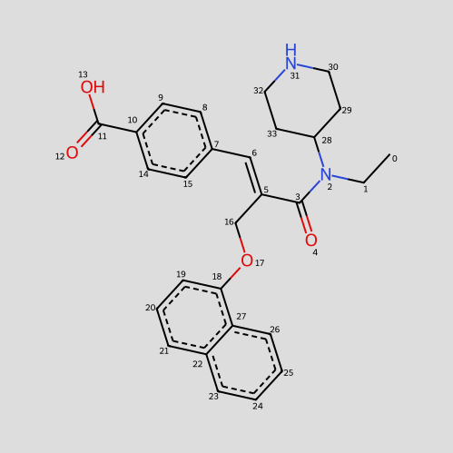 CCN(C(=O)/C(=C/c1ccc(C(=O)O)cc1)COc1cccc2ccccc12)C1CCNCC1